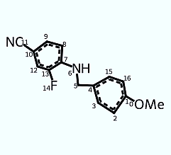 COc1ccc(CNc2ccc(C#N)cc2F)cc1